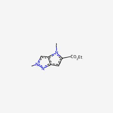 CCOC(=O)c1cc2nn(C)cc2n1C